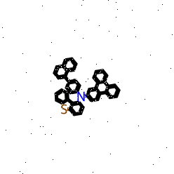 c1ccc2c(-c3ccc(N(c4ccc5c6ccccc6c6ccccc6c5c4)c4cccc5sc6ccccc6c45)cc3)cccc2c1